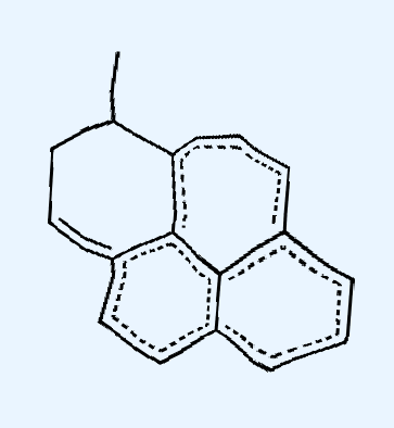 CC1CC=c2ccc3cccc4ccc1c2c43